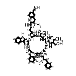 C#Cc1ccc2c(c1)CC(C)C(NCCCC[C@@H]1NC(=O)[C@@H](Cc3c[nH]c4ccccc34)NC(=O)[C@H](Cc3ccccc3)NC(=O)[C@@H](NC(=O)[C@H](N)Cc3ccccc3)CSSC[C@@H](C(=O)NC(CO)C(C)O)NC(=O)[C@H]([C@@H](C)O)NC1=O)=N2